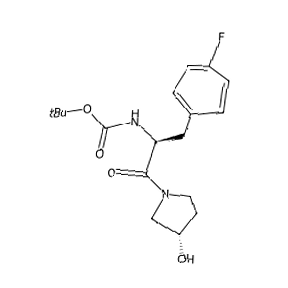 CC(C)(C)OC(=O)N[C@@H](Cc1ccc(F)cc1)C(=O)N1CC[C@H](O)C1